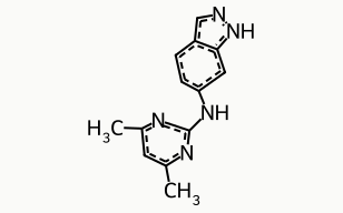 Cc1cc(C)nc(Nc2ccc3cn[nH]c3c2)n1